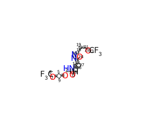 O=C(COC1CC(OC(F)(F)F)C1)N[C@H]1CC2(c3nnc(C4CC4COC(F)(F)F)o3)CC1C2